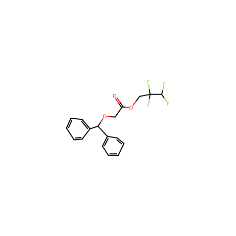 O=C(COC(c1ccccc1)c1ccccc1)OCC(F)(F)C(F)F